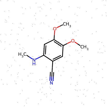 CNc1cc(OC)c(OC)cc1C#N